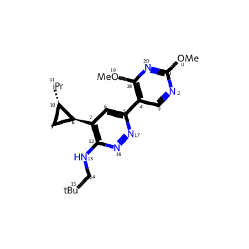 COc1ncc(-c2cc([C@H]3C[C@@H]3C(C)C)c(NCC(C)(C)C)nn2)c(OC)n1